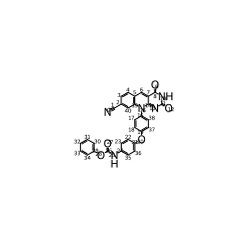 N#Cc1ccc2cc3c(=O)[nH]c(=O)nc-3n(-c3ccc(Oc4ccc(NC(=O)Oc5ccccc5)cc4)cc3)c2c1